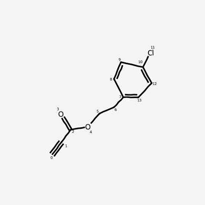 C#CC(=O)OCCc1ccc(Cl)cc1